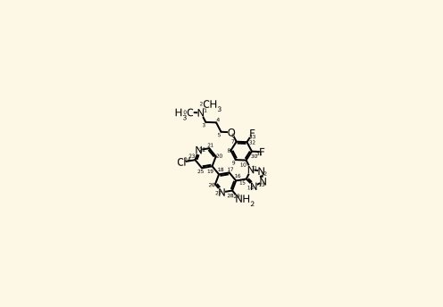 CN(C)CCCOc1ccc(-n2nnnc2-c2cc(-c3ccnc(Cl)c3)cnc2N)c(F)c1F